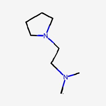 [CH2]N(C)CCN1CCCC1